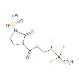 CCCS(=O)(=O)N1CCN(C(=O)OCC(F)C(F)(F)S(=O)(=O)O)C1=O